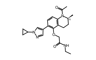 CCNC(=O)COc1c(-c2cnn(C3CC3)c2)ccc2c1CC[C@H](C)N2C(C)=O